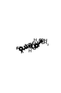 CN1C(=O)[C@H](NC(=O)n2cc(Cc3ccc(F)cc3F)cn2)COc2ccc(C#CC(C)(C)O)cc21